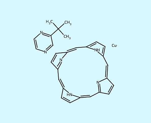 C1=Cc2cc3ccc(cc4nc(cc5ccc(cc1n2)[nH]5)C=C4)[nH]3.CC(C)(C)c1cnccn1.[Cu]